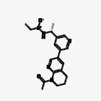 CC[S+]([O-])N[C@H](C)c1cncc(-c2cnc3c(c2)CCCN3C(C)=O)c1